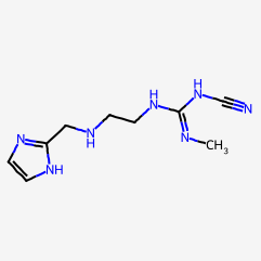 CN=C(NC#N)NCCNCc1ncc[nH]1